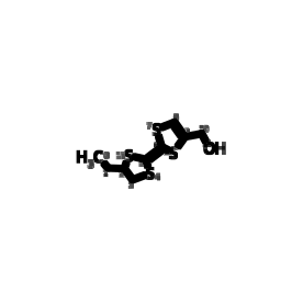 CCC1CS/C(=C2/SC=C(CO)S2)S1